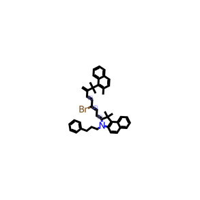 C=C(/C=C/C(Br)=C/C=C1/N(CCCc2ccccc2)c2ccc3ccccc3c2C1(C)C)C(C)(C)c1c(C)ccc2ccccc12